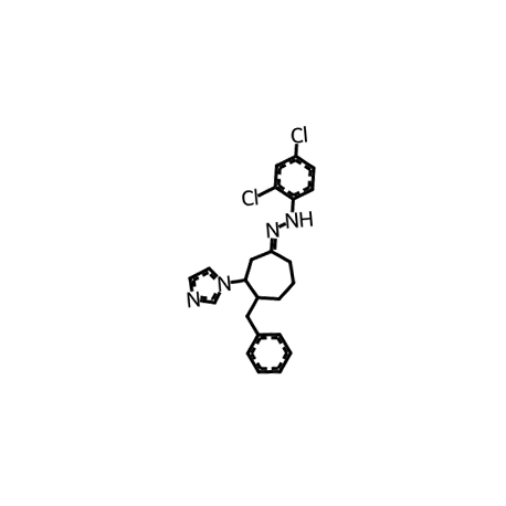 Clc1ccc(NN=C2CCCC(Cc3ccccc3)C(n3ccnc3)C2)c(Cl)c1